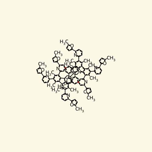 Cc1ccc(-c2cccc(-c3c(C)c(-c4cccc(-c5ccc(C)o5)n4)c4c(c3C)-c3c(C)c(-c5cccc(-c6ccc(C)o6)n5)c(C)c(-c5cccc(-c6ccc(C)o6)n5)c3C4CCCCn3c4c(-c5cccc(-c6ccc(C)o6)n5)c(C)c(-c5cccc(-c6ccc(C)o6)n5)c(C)c4c4c(C)c(-c5cccc(-c6ccc(C)o6)n5)c(C)c(-c5cccc(-c6ccc(C)o6)n5)c43)n2)o1